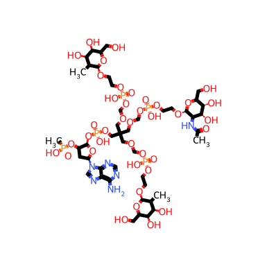 CC(=O)NC1[C@H](OCCOP(=O)(O)OCOCC(COCOP(=O)(O)OCCO[C@@H]2OC(CO)[C@H](O)[C@H](O)C2C)(COCOP(=O)(O)OCCO[C@@H]2OC(CO)[C@H](O)[C@H](O)C2C)COP(=O)(O)O[C@H]2O[C@@H](n3cnc4c(N)ncnc43)CC2OP(C)(=O)O)OC(CO)[C@H](O)[C@@H]1O